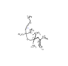 CCC/C=C/C(C)(C)CC(C)(C)C(=O)OC